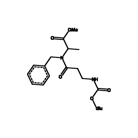 COC(=O)C(C)N(Cc1ccccc1)C(=O)CCNC(=O)OC(C)(C)C